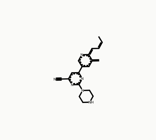 C=c1cc(-c2cc(C#N)nc(N3CCNCC3)n2)cn/c1=C/C=C\C